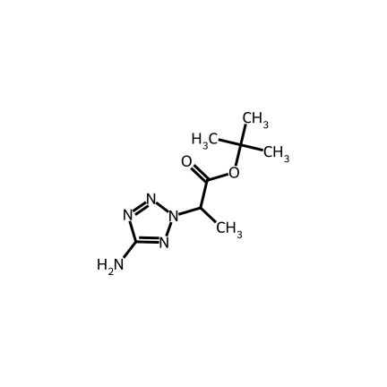 CC(C(=O)OC(C)(C)C)n1nnc(N)n1